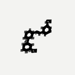 N#Cc1cccc(C=Cc2cccc(-c3cccc(C#N)c3)c2)c1